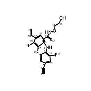 C#Cc1ccc(Nc2c(C(=O)NOCCO)cc(C=C)c(F)c2F)c(F)c1